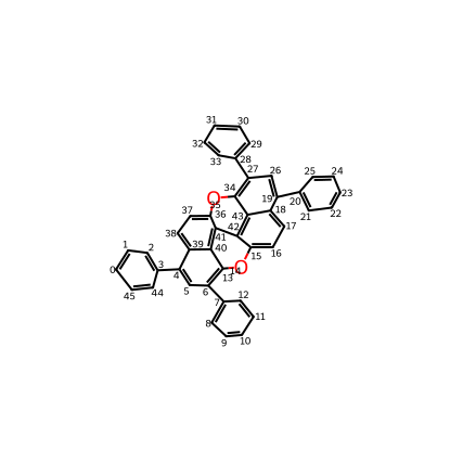 c1ccc(-c2cc(-c3ccccc3)c3oc4ccc5c(-c6ccccc6)cc(-c6ccccc6)c6oc7ccc2c3c7-c4c56)cc1